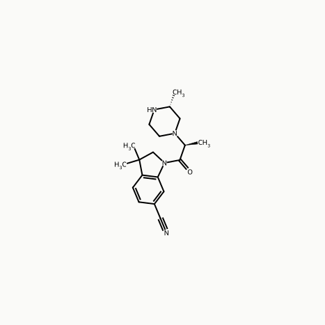 C[C@@H]1CN([C@@H](C)C(=O)N2CC(C)(C)c3ccc(C#N)cc32)CCN1